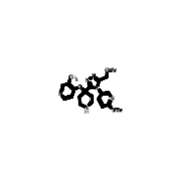 COCc1nnc(C2(Oc3ccncc3C)CCNCC2)n1-c1ccc(OC)nc1